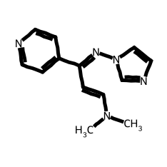 CN(C)C=CC(=Nn1ccnc1)c1ccncc1